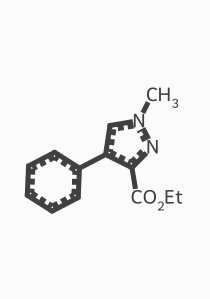 CCOC(=O)c1nn(C)cc1-c1ccccc1